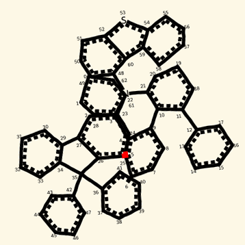 c1ccc(-c2ccccc2-c2c(-c3ccccc3)cccc2N(c2ccc3c(c2)-c2ccccc2C3(c2ccccc2)c2ccccc2)c2cccc3sc4ccccc4c23)cc1